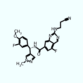 COc1ccc([C@H](NC(=O)c2cc(F)c3cnc(NCCC#N)nc3c2)c2cnn(C)c2)cc1F